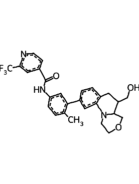 Cc1ccc(NC(=O)c2ccnc(C(F)(F)F)c2)cc1-c1ccc2c(c1)N1CCOCC1C(CO)C2